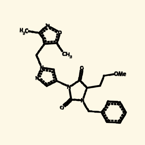 COCCC1C(=O)N(c2cnn(Cc3c(C)noc3C)c2)C(=O)N1Cc1ccccc1